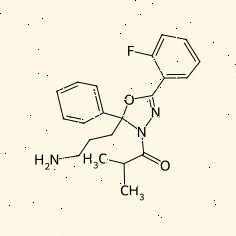 CC(C)C(=O)N1N=C(c2ccccc2F)OC1(CCCN)c1ccccc1